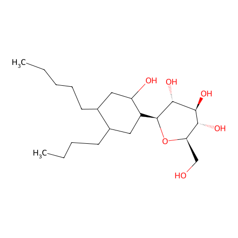 CCCCCC1CC(O)C([C@@H]2O[C@H](CO)[C@@H](O)[C@H](O)[C@H]2O)CC1CCCC